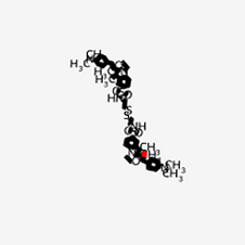 CN(C)C1=CCC(/C=C/C23OCCN2c2ccc(S(=O)(=O)NCCSSCCNS(=O)(=O)c4ccc5c(c4)C(C)(C)C4(/C=C/c6ccc(N(C)C)cc6)OCCN54)cc2C3(C)C)C=C1